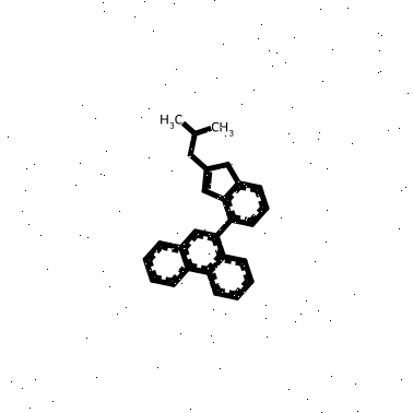 CC(C)CC1=Cc2c(cccc2-c2cc3ccccc3c3ccccc23)[CH]1